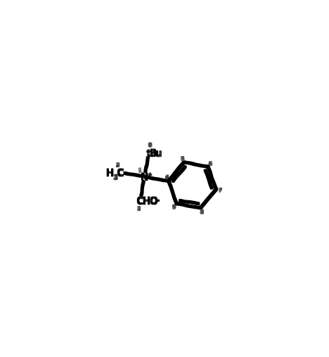 CC(C)(C)[N+](C)([C]=O)c1ccccc1